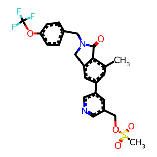 Cc1cc(-c2cncc(COS(C)(=O)=O)c2)cc2c1C(=O)N(Cc1ccc(OC(F)(F)F)cc1)C2